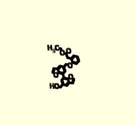 CCOC(=O)Cc1ccccc1OCc1cc(-c2cc(CO)cc3ccoc23)c2occc2c1